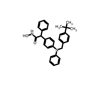 CC(C)(C)c1ccc(CN(c2ccccc2)c2ccc(C(C(=O)NO)c3ccccc3)cc2)cc1